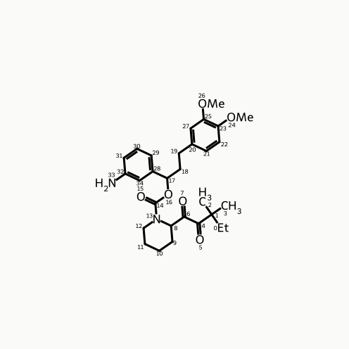 CCC(C)(C)C(=O)C(=O)C1CCCCN1C(=O)OC(CCc1ccc(OC)c(OC)c1)c1cccc(N)c1